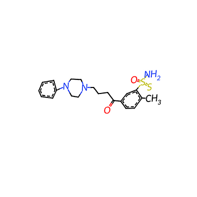 Cc1ccc(C(=O)CCCN2CCN(c3ccccc3)CC2)cc1S(N)(=O)=S